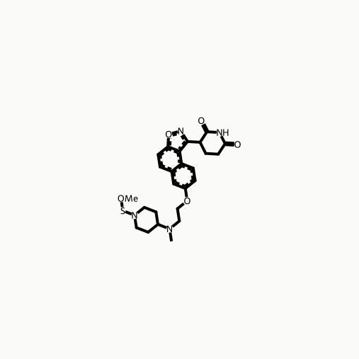 COSN1CCC(N(C)CCOc2ccc3c(ccc4onc(C5CCC(=O)NC5=O)c43)c2)CC1